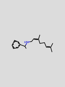 CC(C)=CCCC(C)=CCNC(C)c1ccccc1